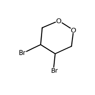 BrC1COOCC1Br